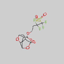 O=C1OC2C3OC(CC13)C2C(=O)OCCC(F)(F)C(F)(F)[SH](=O)=O